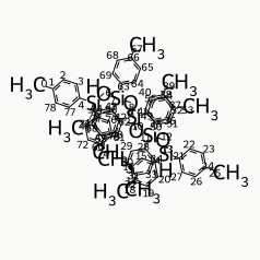 Cc1ccc([SiH](O[Si](O[Si](O[Si](O[SiH](c2ccc(C)cc2)c2ccc(C)cc2)(c2ccc(C)cc2)c2ccc(C)cc2)(c2ccc(C)cc2)c2ccc(C)cc2)(c2ccc(C)cc2)c2ccc(C)cc2)c2ccc(C)cc2)cc1